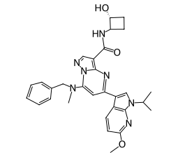 COc1ccc2c(-c3cc(N(C)Cc4ccccc4)n4ncc(C(=O)NC5CC[C@H]5O)c4n3)cn(C(C)C)c2n1